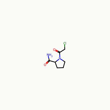 NC(=O)C1CCCN1C(=O)CCl